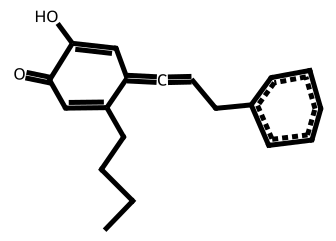 CCCCC1=CC(=O)C(O)=CC1=C=CCc1ccccc1